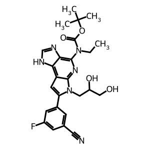 CCN(C(=O)OC(C)(C)C)c1nc2c(cc(-c3cc(F)cc(C#N)c3)n2CC(O)CO)c2[nH]cnc12